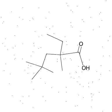 CCC(C)(CC(C)(C)C)C(=O)O